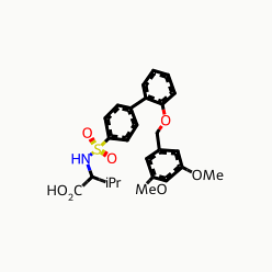 COc1cc(COc2ccccc2-c2ccc(S(=O)(=O)NC(C(=O)O)C(C)C)cc2)cc(OC)c1